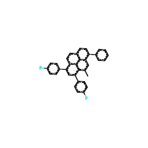 Cc1cc2c(-c3ccccc3)ccc3ccc4c(-c5ccc(F)cc5)cc(-c5ccc(F)cc5)c1c4c32